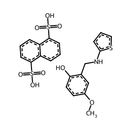 COc1ccc(O)c(CNc2cccs2)c1.O=S(=O)(O)c1cccc2c(S(=O)(=O)O)cccc12